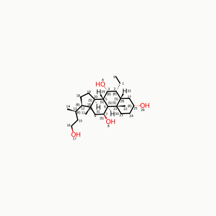 CC[C@H]1[C@@H](O)[C@@H]2[C@H]([C@@H](O)C[C@]3(C)[C@@H]([C@H](C)CCO)CC[C@@H]23)[C@@]2(C)CC[C@@H](O)C[C@@H]12